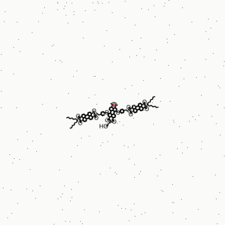 CCCCCCC(CCCCCC)N1C(=O)c2ccc3c4ccc5c6c(ccc(c7ccc(c2c37)C1=O)c64)C(=O)N(CCc1ccc(Oc2cc(C(C)=O)c3c(C(C)=O)ccc4c6c(Oc7ccc(CCN8C(=O)c9ccc%10c%11ccc%12c%13c(ccc(c%14ccc(c9c%10%14)C8=O)c%13%11)C(=O)N(C(CCCCCC)CCCCCC)C%12=O)cc7)cc7c8c(ccc(c2c34)c86)C(=O)N(CCCO)C7=O)cc1)C5=O